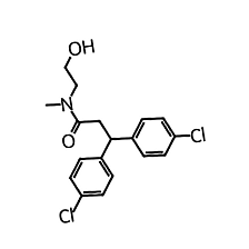 CN(CCO)C(=O)CC(c1ccc(Cl)cc1)c1ccc(Cl)cc1